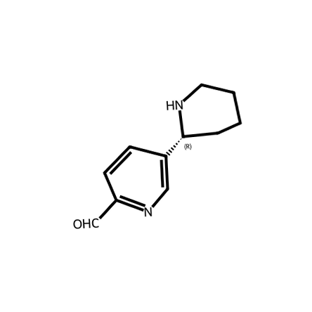 O=Cc1ccc([C@H]2CCCCN2)cn1